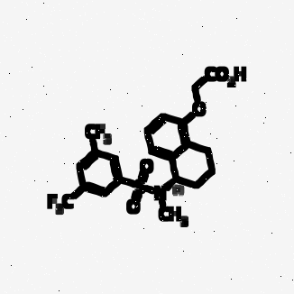 CN([C@@H]1CCCc2c(OCC(=O)O)cccc21)S(=O)(=O)c1cc(C(F)(F)F)cc(C(F)(F)F)c1